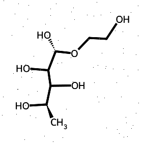 C[C@@H](O)C(O)C(O)[C@H](O)OCCO